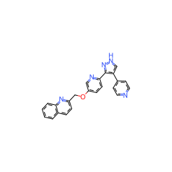 c1ccc2nc(COc3ccc(-c4n[nH]cc4-c4ccncc4)nc3)ccc2c1